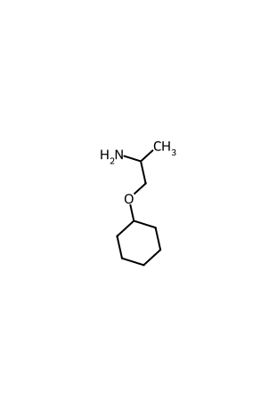 CC(N)COC1CCCCC1